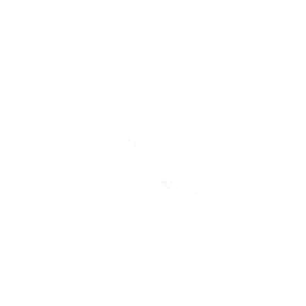 [MgH2].[O]=[Nb](=[O])(=[O])(=[O])=[O]